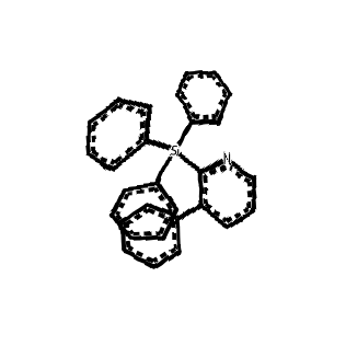 c1ccc(-c2cccnc2[Si](c2ccccc2)(c2ccccc2)c2ccccc2)cc1